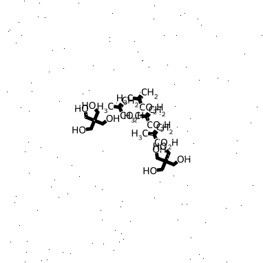 C=C(C)C(=O)O.C=C(C)C(=O)O.C=C(C)C(=O)O.C=C(C)C(=O)O.OCC(CO)(CO)CO.OCC(CO)(CO)CO